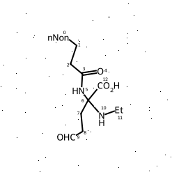 CCCCCCCCCCCC(=O)NC(CCC=O)(NCC)C(=O)O